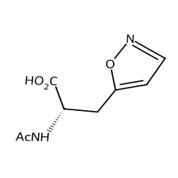 CC(=O)N[C@@H](Cc1ccno1)C(=O)O